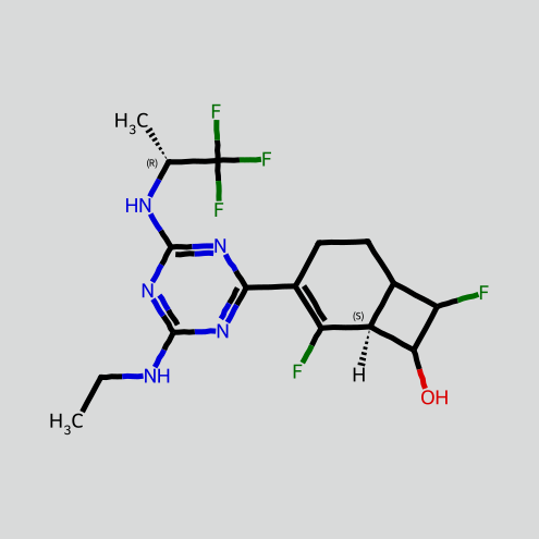 CCNc1nc(N[C@H](C)C(F)(F)F)nc(C2=C(F)[C@@H]3C(O)C(F)C3CC2)n1